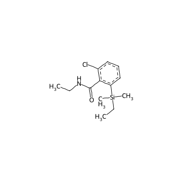 CCNC(=O)c1c(Cl)cccc1[Si](C)(C)CC